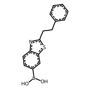 OB(O)c1ccc2nc(CCc3ccccc3)sc2c1